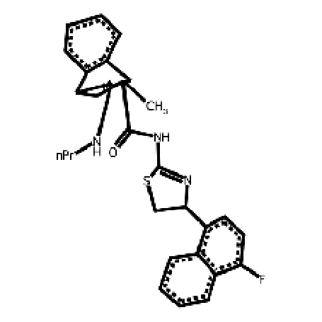 CCCNC1=NC2c3ccccc3C1CC2(C)C(=O)NC1=NC(c2ccc(F)c3ccccc23)CS1